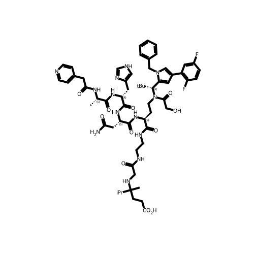 CC(C)C(C)(CCC(=O)O)NCC(=O)NCCNC(=O)[C@H](CCN(C(=O)CO)[C@@H](c1cc(-c2cc(F)ccc2F)cn1Cc1ccccc1)C(C)(C)C)NC(=O)[C@H](CC(N)=O)NC(=O)[C@@H](Cc1c[nH]cn1)NC(=O)[C@H](C)NC(=O)Cc1ccncc1